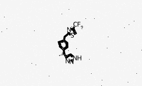 C[C@H](c1ccc(Cc2nc(C(F)(F)F)cs2)cc1)c1c[nH]nn1